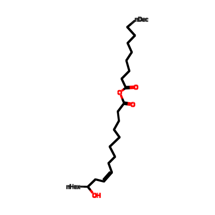 CCCCCCCCCCCCCCCCCC(=O)OC(=O)CCCCCCC/C=C\CC(O)CCCCCC